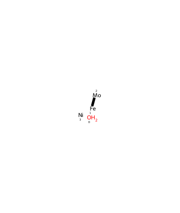 O.[Fe][Mo].[Ni]